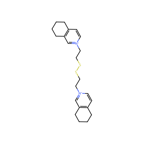 c1c[n+](CCSSCC[n+]2ccc3c(c2)CCCC3)cc2c1CCCC2